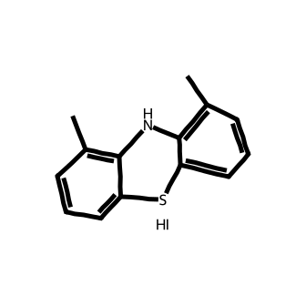 Cc1cccc2c1Nc1c(C)cccc1S2.I